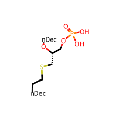 CCCCCCCCCCCCSC[C@@H](COP(=O)(O)O)OCCCCCCCCCC